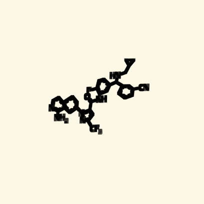 N#Cc1cccc(C(NCC2CC2)c2ccc(F)c(NC(=O)c3cc(C(F)(F)F)nn3-c3ccc4ccnc(N)c4c3)c2)c1